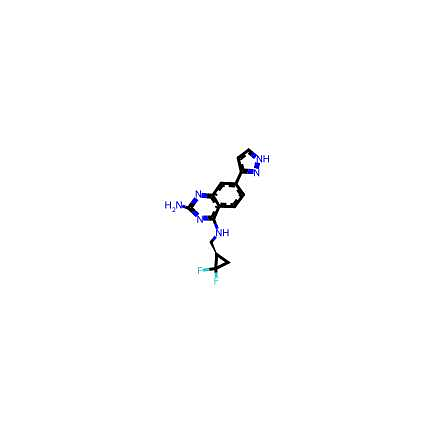 Nc1nc(NC[C@H]2CC2(F)F)c2ccc(-c3cc[nH]n3)cc2n1